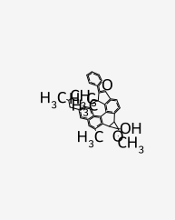 COC1(O)C2c3ccc4c(c3-c3c(c(C)cc5cc(CC(C)C)ccc35)C21)C(C)(C)c1c-4oc2ccccc12